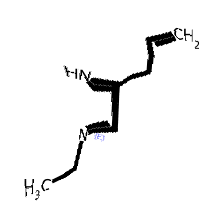 C=CCC(=N)/C=N/CC